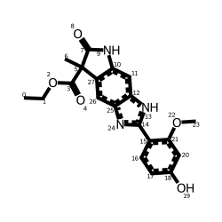 CCOC(=O)C1(C)C(=O)Nc2cc3[nH]c(-c4ccc(O)cc4OC)nc3cc21